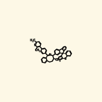 Cc1ccc(-c2ccc(/C3=N/C(c4ccc5c(c4)C4(c6ccccc6Sc6ccccc64)c4ccccc4-5)C(C)CCc4ccccc43)cc2)c(C)n1